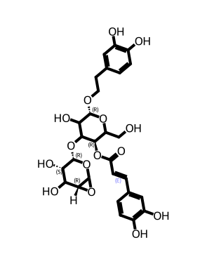 O=C(/C=C/c1ccc(O)c(O)c1)O[C@@H]1C(CO)O[C@@H](OCCc2ccc(O)c(O)c2)C(O)C1O[C@@H]1OC2O[C@@H]2C(O)[C@@H]1O